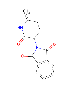 C=C1CCC(N2C(=O)c3ccccc3C2=O)C(=O)N1